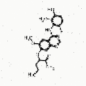 CCCC(Oc1cc2ncnc(Nc3c(F)ccc(O)c3C)c2cc1OC)C(N)=O